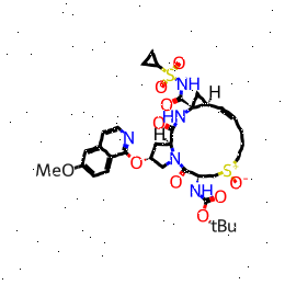 COc1ccc2c(O[C@@H]3C[C@H]4C(=O)N[C@]5(C(=O)NS(=O)(=O)C6CC6)C[C@H]5/C=C\CCC[S+]([O-])C[C@H](NC(=O)OC(C)(C)C)C(=O)N4C3)nccc2c1